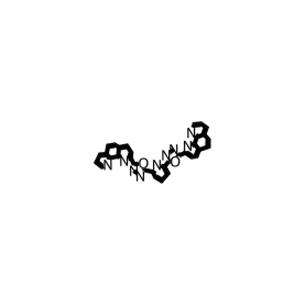 c1cc(-c2nnc(-c3ccc4ccc5cccnc5c4n3)o2)nc(-c2nnc(-c3ccc4ccc5cccnc5c4n3)o2)c1